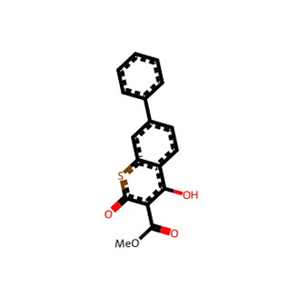 COC(=O)c1c(O)c2ccc(-c3ccccc3)cc2sc1=O